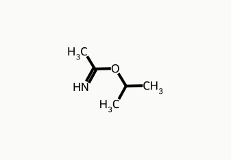 CC(=N)OC(C)C